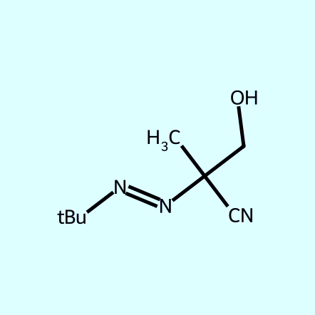 CC(C)(C)/N=N/C(C)(C#N)CO